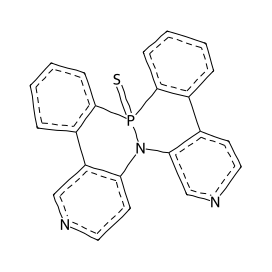 S=P12c3ccccc3-c3cnccc3N1c1cnccc1-c1ccccc12